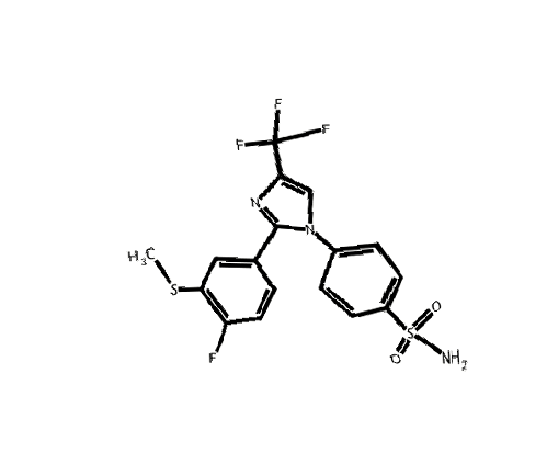 CSc1cc(-c2nc(C(F)(F)F)cn2-c2ccc(S(N)(=O)=O)cc2)ccc1F